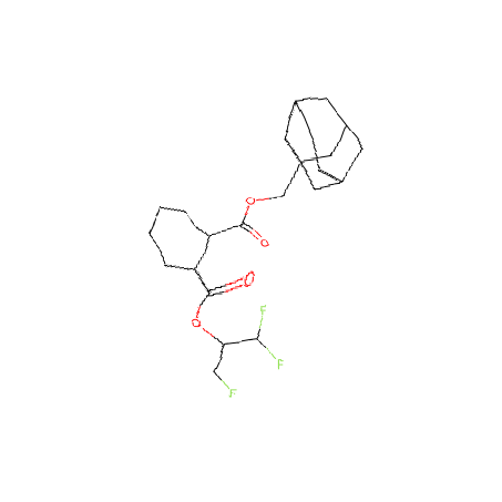 O=C(OCC12CC3CC(CC(C3)C1)C2)C1CCCCC1C(=O)OC(CF)C(F)F